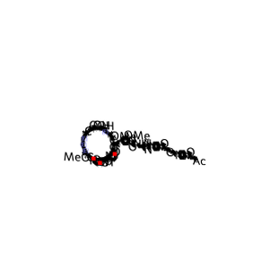 CO[C@H]1C[C@@H]2CC[C@@H](C)[C@@](O)(O2)C(=O)C(=O)N2CCCC[C@H]2C(=O)O[C@H]([C@H](C)C[C@@H]2CC[C@@H](OC(=O)NCc3cnc(N4CCN(C(=O)CCOCCN5CCN(C(=O)CCC(C)=O)CC5)CC4)nc3)[C@H](OC)C2)C[C@@H](OC)[C@H](C)/C=C(\C)C(O)[C@@H](O)C(=O)[C@H](C)C[C@H](C)/C=C/C=C/C=C/1C